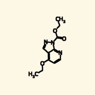 CCOC(=O)n1ncc2c(OCC)ccnc21